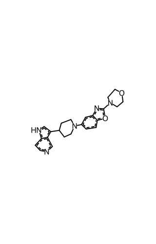 c1cc2[nH]cc(C3CCN(c4ccc5oc(N6CCOCC6)nc5c4)CC3)c2cn1